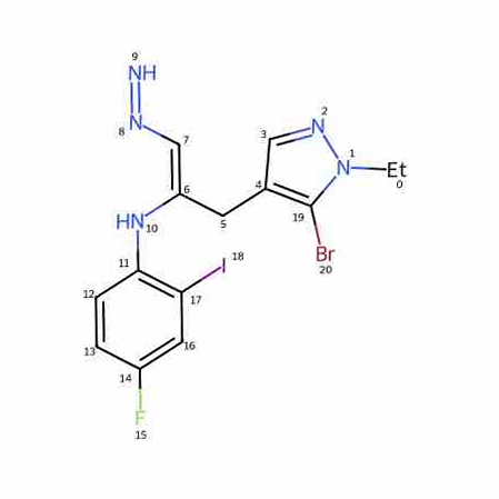 CCn1ncc(C/C(=C/N=N)Nc2ccc(F)cc2I)c1Br